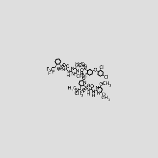 COC(=O)c1cc(Oc2ccc(Cl)cc2Cl)ccc1[N+](=O)[O-].COc1cc(OC)nc(NC(=O)NS(=O)(=O)c2ncccc2C(=O)N(C)C)n1.COc1nc(C)nc(NC(=O)NS(=O)(=O)c2ccccc2CCC(F)(F)F)n1